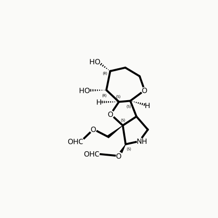 O=COC[C@@]12O[C@H]3[C@H](O)[C@H](O)CCO[C@H]3C1CN[C@H]2OC=O